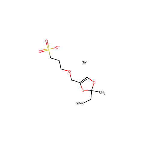 CCCCCCCCCCCC1(C)OC=C(COCCCS(=O)(=O)[O-])O1.[Na+]